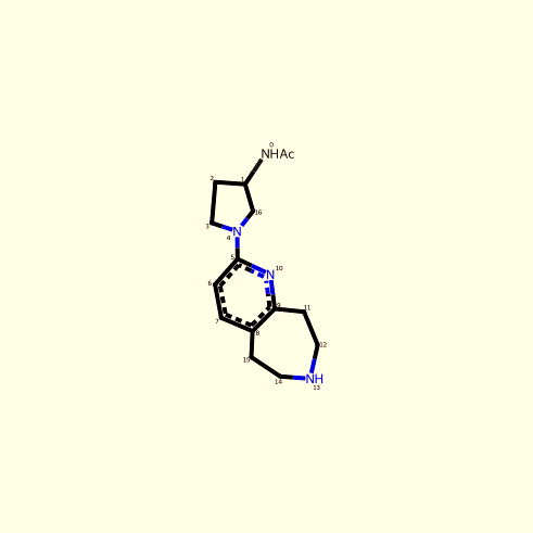 CC(=O)NC1CCN(c2ccc3c(n2)CCNCC3)C1